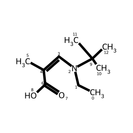 CCN(C=C(C)C(=O)O)C(C)(C)C